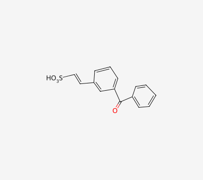 O=C(c1ccccc1)c1cccc(C=CS(=O)(=O)O)c1